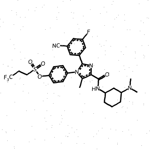 Cc1c(C(=O)NC2CCCC(N(C)C)C2)nc(-c2cc(F)cc(C#N)c2)n1-c1ccc(OS(=O)(=O)CCC(F)(F)F)cc1